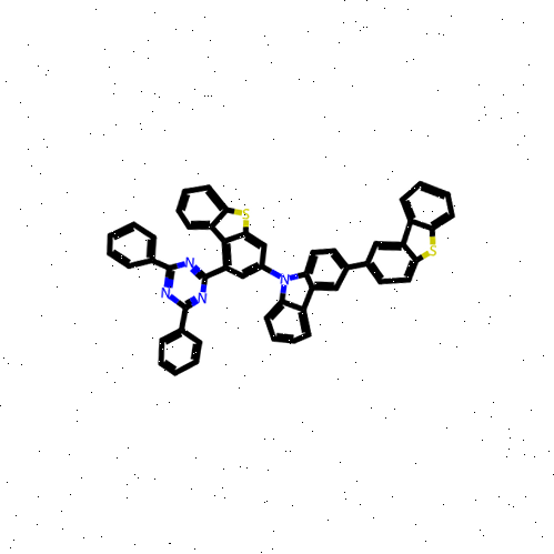 c1ccc(-c2nc(-c3ccccc3)nc(-c3cc(-n4c5ccccc5c5cc(-c6ccc7sc8ccccc8c7c6)ccc54)cc4sc5ccccc5c34)n2)cc1